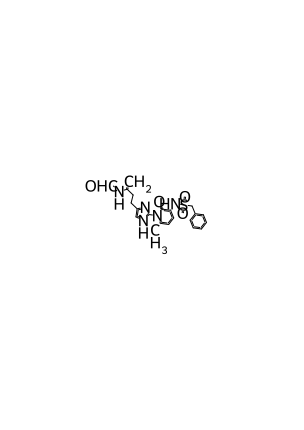 C=C(CCc1c[nH]c(-n2c(C)ccc(NS(=O)(=O)Cc3ccccc3)c2=O)n1)NC=O